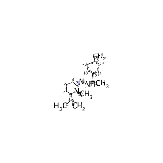 C=C(C)C1CCC/C(=N/NC(C)c2ccc(C)cc2)N1C